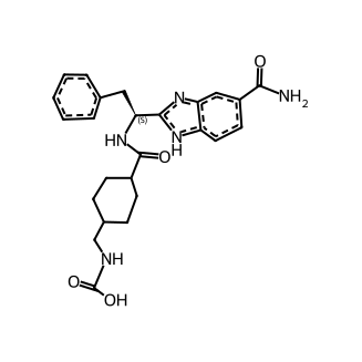 NC(=O)c1ccc2[nH]c([C@H](Cc3ccccc3)NC(=O)C3CCC(CNC(=O)O)CC3)nc2c1